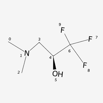 CN(C)C[C@H](O)C(F)(F)F